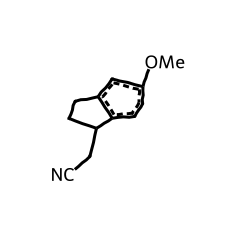 COc1ccc2c(c1)CCC2CC#N